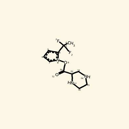 CC(F)(F)c1cccn1OC(=O)C1CNCCN1